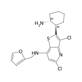 N[C@@H]1CCCC[C@H]1c1sc2c(NCc3ccco3)cc(Cl)nc2c1Cl